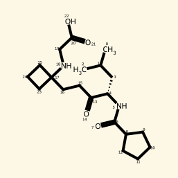 CC(C)C[C@H](NC(=O)C1CCCC1)C(=O)CCC1(NCC(=O)O)CCC1